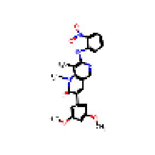 COc1cc(OC)cc(-c2cc3cnc(Nc4ccccc4[N+](=O)[O-])c(C)c3n(C)c2=O)c1